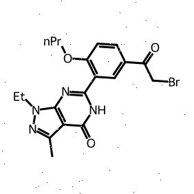 CCCOc1ccc(C(=O)CBr)cc1-c1nc2c(c(C)nn2CC)c(=O)[nH]1